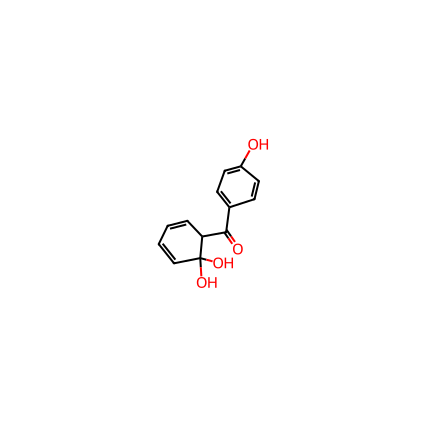 O=C(c1ccc(O)cc1)C1C=CC=CC1(O)O